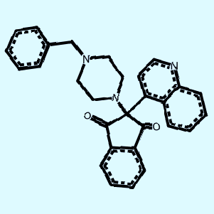 O=C1c2ccccc2C(=O)C1(c1ccnc2ccccc12)N1CCN(Cc2ccccc2)CC1